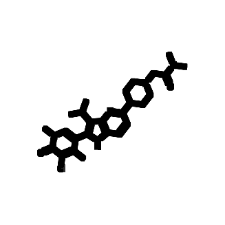 Cc1c(-c2[nH]c3ccc(C4CCN(CC(=O)N(C)C)CC4)nc3c2C(C)C)cn(C)c(=O)c1Cl